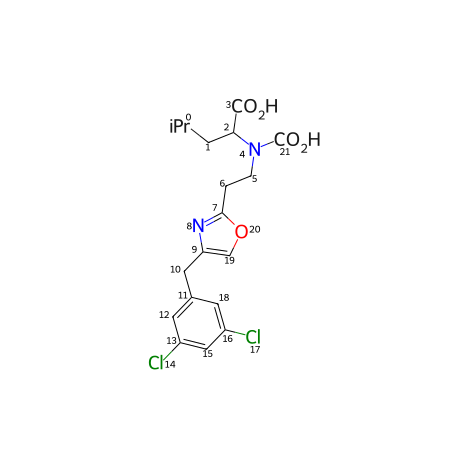 CC(C)CC(C(=O)O)N(CCc1nc(Cc2cc(Cl)cc(Cl)c2)co1)C(=O)O